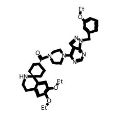 CCOc1cccc(Cn2ncc3c(N4CCN(C(=O)[C@H]5CC[C@]6(CC5)NCCc5cc(OCC)c(OCC)cc56)CC4)ncnc32)c1